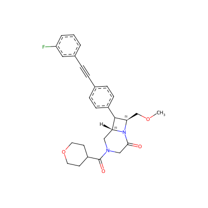 COC[C@@H]1C(c2ccc(C#Cc3cccc(F)c3)cc2)[C@H]2CN(C(=O)C3CCOCC3)CC(=O)N12